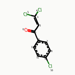 O=C(C=C(Cl)Cl)c1ccc(Cl)cc1